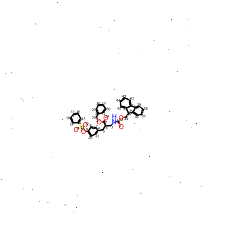 O=C(NCC(Cc1ccc(OS(=O)(=O)c2ccccc2)cc1)C(=O)OCc1ccccc1)OCC1c2ccccc2-c2ccccc21